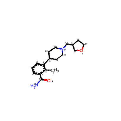 Cc1c(C(N)=O)cccc1C1CCN(CC2CCOC2)CC1